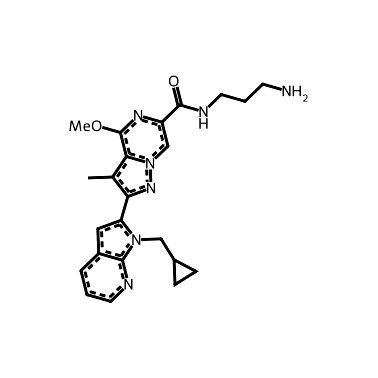 COc1nc(C(=O)NCCCN)cn2nc(-c3cc4cccnc4n3CC3CC3)c(C)c12